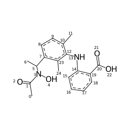 CC(=O)N(O)C(C)c1ccc(C)c(Nc2ccccc2C(=O)O)c1C